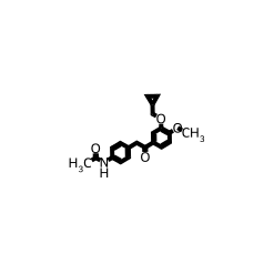 COc1ccc(C(=O)Cc2ccc(NC(C)=O)cc2)cc1OCC1CC1